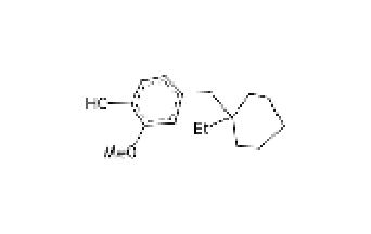 CCC1([CH]c2ccc(O)c(OC)c2)CCCCC1